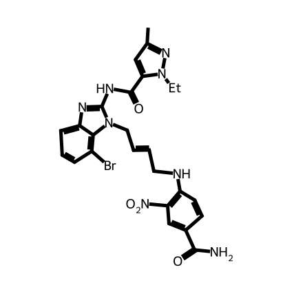 CCn1nc(C)cc1C(=O)Nc1nc2cccc(Br)c2n1C/C=C/CNc1ccc(C(N)=O)cc1[N+](=O)[O-]